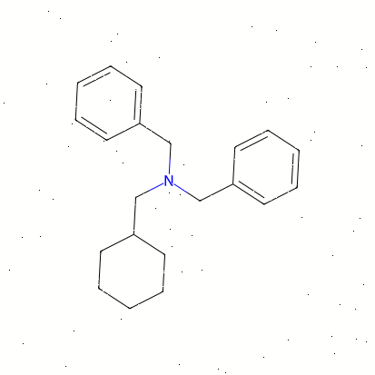 c1ccc(CN(Cc2ccccc2)CC2CCCCC2)cc1